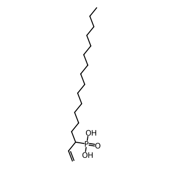 C=CC(CCCCCCCCCCCCCC)P(=O)(O)O